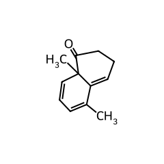 CC1=CC=CC2(C)C(=O)CCC=C12